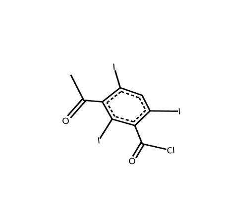 CC(=O)c1c(I)cc(I)c(C(=O)Cl)c1I